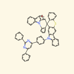 c1ccc(-c2cc(-c3ccc(-n4c5ccccc5c5cc6c(cc54)C4(c5ccccc5S6)c5ccccc5-n5c6ccccc6c6cccc4c65)cc3)nc(-c3ccccc3)n2)cc1